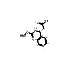 CCC(=O)C[C@@H](NC(=O)OC(C)(C)C)c1ccncc1